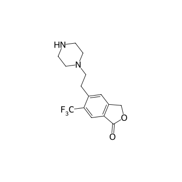 O=C1OCc2cc(CCN3CCNCC3)c(C(F)(F)F)cc21